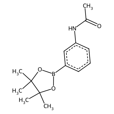 CC(=O)Nc1cccc(B2OC(C)(C)C(C)(C)O2)c1